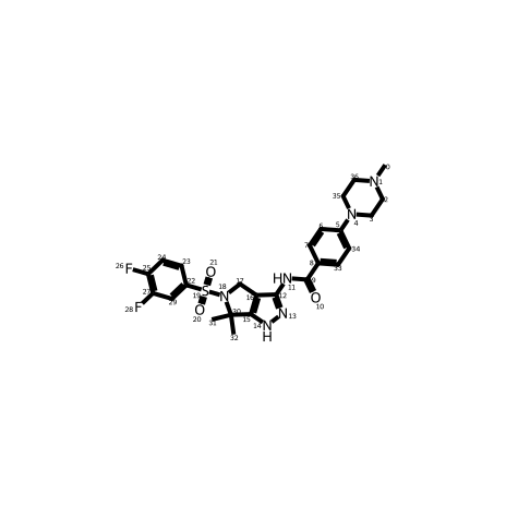 CN1CCN(c2ccc(C(=O)Nc3n[nH]c4c3CN(S(=O)(=O)c3ccc(F)c(F)c3)C4(C)C)cc2)CC1